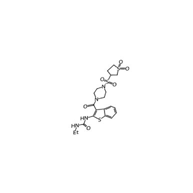 CCNC(=O)Nc1sc2ccccc2c1C(=O)N1CCN(S(=O)(=O)C2CCS(=O)(=O)C2)CC1